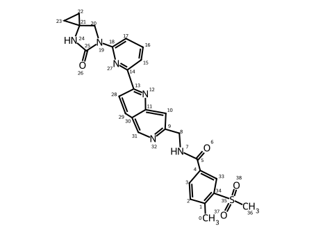 Cc1ccc(C(=O)NCc2cc3nc(-c4cccc(N5CC6(CC6)NC5=O)n4)ccc3cn2)cc1S(C)(=O)=O